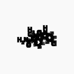 Cc1[nH]c2c(c1C(N)=O)CCC/C2=C1/C(=O)Nc2ccc(Cl)cc21